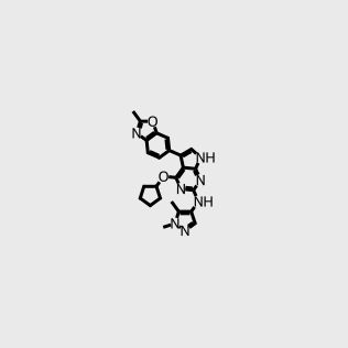 Cc1nc2ccc(-c3c[nH]c4nc(Nc5cnn(C)c5C)nc(OC5CCCC5)c34)cc2o1